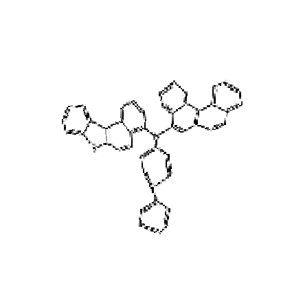 c1ccc(-c2ccc(N(c3cc4ccc5ccccc5c4c4ccccc34)c3cccc4c3ccc3sc5ccccc5c34)cc2)cc1